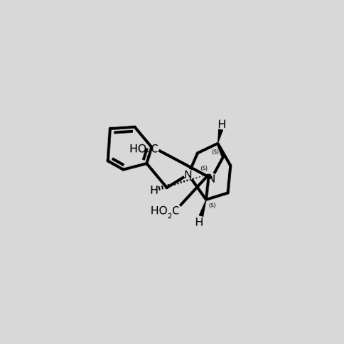 O=C(O)[C@@H]1[C@@H]2CC[C@@H](CN2Cc2ccccc2)CN1C(=O)O